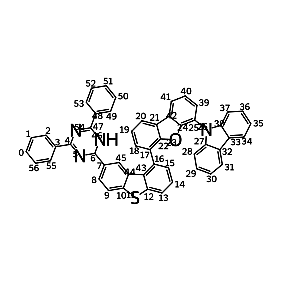 c1ccc(C2=NC(c3ccc4sc5cccc(-c6cccc7c6oc6c(-n8c9ccccc9c9ccccc98)cccc67)c5c4c3)NC(c3ccccc3)=N2)cc1